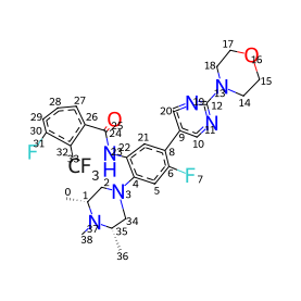 C[C@@H]1CN(c2cc(F)c(-c3cnc(N4CCOCC4)nc3)cc2NC(=O)c2cccc(F)c2C(F)(F)F)C[C@H](C)N1C